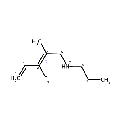 C=C/C(F)=C(\C)CNCCC